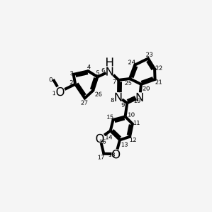 COc1ccc(Nc2nc(-c3ccc4c(c3)OCO4)nc3ccccc23)cc1